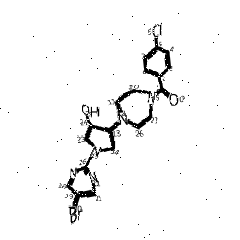 O=C(c1ccc(Cl)cc1)N1CCN(C2CN(c3ncc(Br)cn3)CC2O)CC1